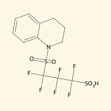 O=S(=O)(O)C(F)(F)C(F)(F)C(F)(F)S(=O)(=O)N1CCCc2ccccc21